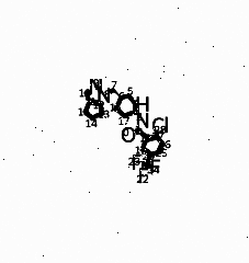 O=C(N[C@H]1CC[C@H](Cn2ncc3c2CCC3)CC1)c1cc(C(F)(F)F)ccc1Cl